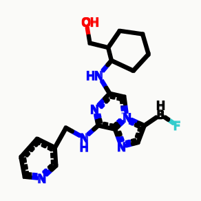 OCC1CCCCC1Nc1cn2c(BF)cnc2c(NCc2cccnc2)n1